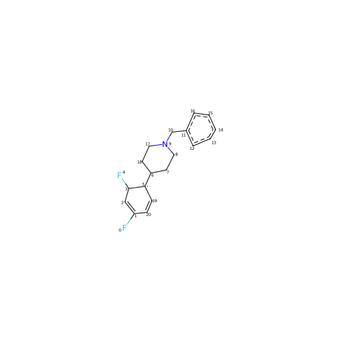 FC1=CC(F)[C](C2CCN(Cc3ccccc3)CC2)C=C1